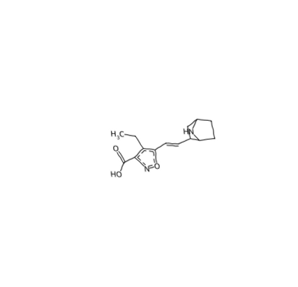 CCc1c(C(=O)O)noc1/C=C/C1CC2CCC1N2